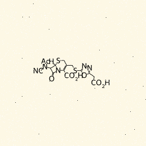 CC(=O)N(C#N)C1C(=O)N2C(C(=O)O)=C(CSc3nnc(CC(=O)O)o3)CS[C@@H]12